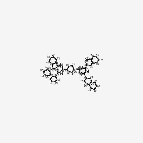 c1ccc(-c2nc(-c3ccc(-c4nc(-c5ccc6ccccc6c5)nc(-c5ccc6ccccc6c5)n4)cc3)nc3c4ccccc4c(-c4ccccc4)n23)cc1